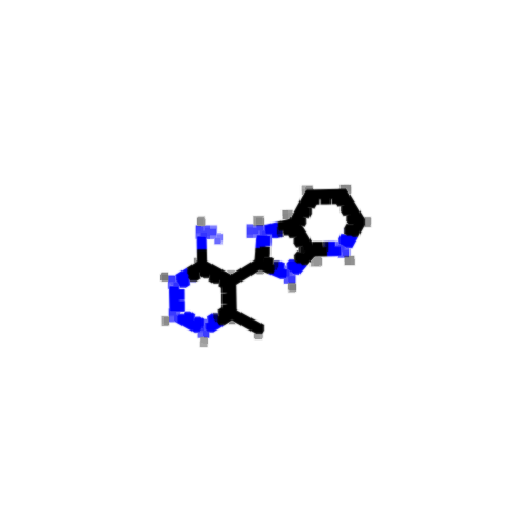 Cc1nnnc(N)c1-c1nc2ncccc2[nH]1